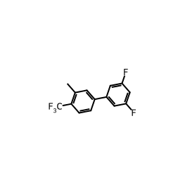 Cc1cc(-c2cc(F)cc(F)c2)ccc1C(F)(F)F